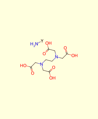 O=C(O)CN(CCN(CC(=O)O)CC(=O)O)CC(=O)O.[NH2][Y]